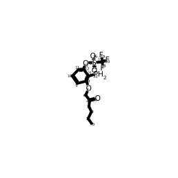 CCCCC(=O)COc1cccc(OS(=O)(=O)C(F)(F)F)c1P